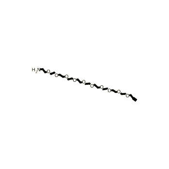 C#CCOCCOCCOCCOCCOCCOCCOCCOCCOCCOCCN